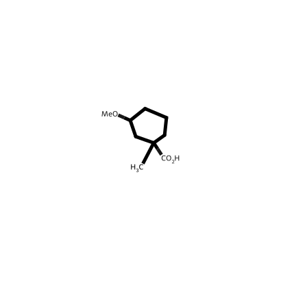 COC1CCCC(C)(C(=O)O)C1